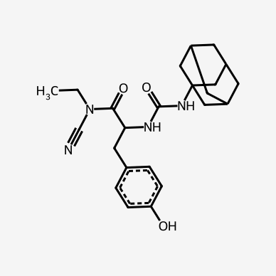 CCN(C#N)C(=O)C(Cc1ccc(O)cc1)NC(=O)NC12CC3CC(CC(C3)C1)C2